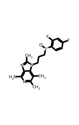 Cc1nc(N)c2nc(C)n(CCC[S+]([O-])c3ccc(F)cc3F)c2c1C